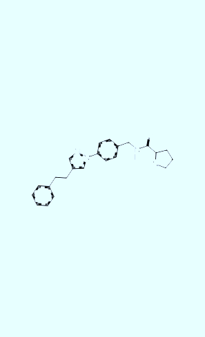 O=C(NCc1ccc(-n2cc(CCc3ccccc3)cn2)cc1)C1CCCN1